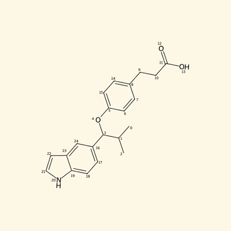 CC(C)C(Oc1ccc(CCC(=O)O)cc1)c1ccc2[nH]ccc2c1